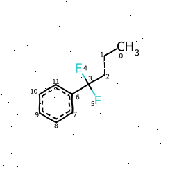 CCCC(F)(F)c1ccccc1